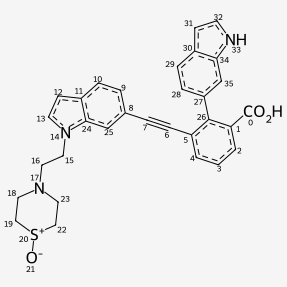 O=C(O)c1cccc(C#Cc2ccc3ccn(CCN4CC[S+]([O-])CC4)c3c2)c1-c1ccc2cc[nH]c2c1